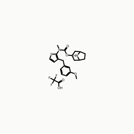 COc1cccc(Cc2ccsc2N(C)C(=O)OC2CC3CCC(C2)N3)c1.O=C(O)C(F)(F)F